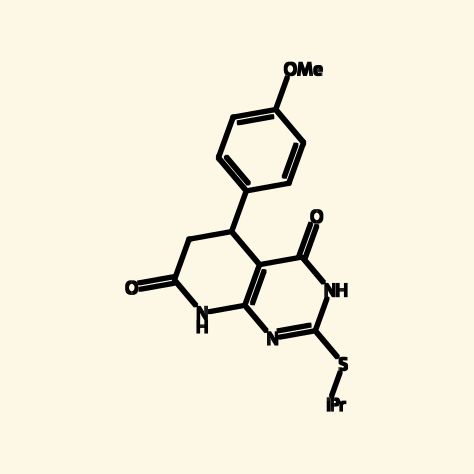 COc1ccc(C2CC(=O)Nc3nc(SC(C)C)[nH]c(=O)c32)cc1